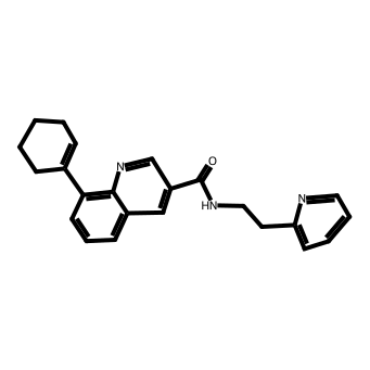 O=C(NCCc1ccccn1)c1cnc2c(C3=CCCCC3)cccc2c1